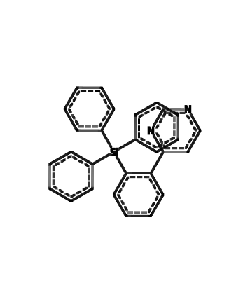 c1ccc([Si](c2ccccc2)(c2ccccc2)c2ccccc2-c2ccncn2)cc1